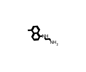 Cc1cccc2c(NCCN)cccc12